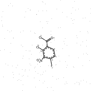 O=C(Cl)c1ccc(F)c([N+](=O)[O-])c1Cl